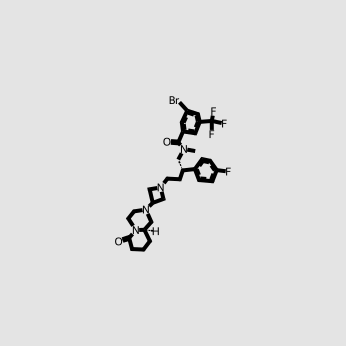 CN(C[C@@H](CCN1CC(N2CCN3C(=O)CCC[C@@H]3C2)C1)c1ccc(F)cc1)C(=O)c1cc(Br)cc(C(F)(F)F)c1